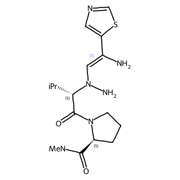 CNC(=O)[C@@H]1CCCN1C(=O)[C@H](C(C)C)N(N)/C=C(\N)c1cncs1